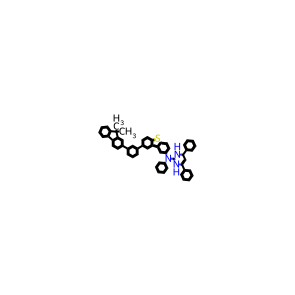 CC1(C)c2ccccc2-c2ccc(-c3cccc(-c4ccc5sc6ccc(N(c7ccccc7)C7NC(c8ccccc8)=CC(c8ccccc8)N7)cc6c5c4)c3)cc21